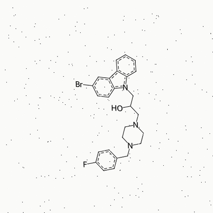 OC(CN1CCN(Cc2ccc(F)cc2)CC1)Cn1c2ccccc2c2cc(Br)ccc21